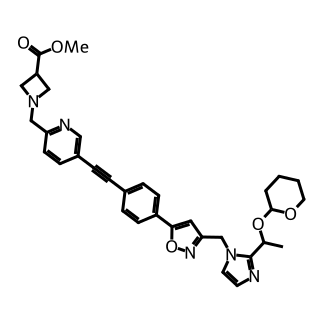 COC(=O)C1CN(Cc2ccc(C#Cc3ccc(-c4cc(Cn5ccnc5C(C)OC5CCCCO5)no4)cc3)cn2)C1